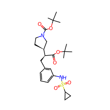 CC(C)(C)OC(=O)[C@@H](Cc1cccc(NS(=O)(=O)C2CC2)c1)[C@H]1CCN(C(=O)OC(C)(C)C)C1